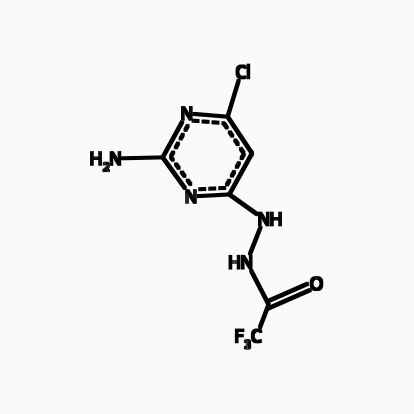 Nc1nc(Cl)cc(NNC(=O)C(F)(F)F)n1